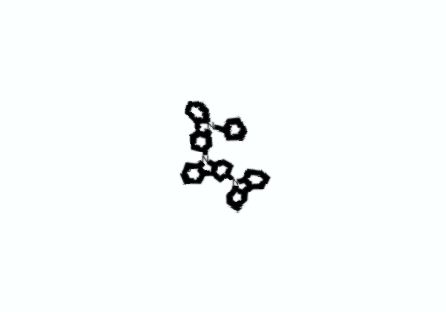 c1ccc(-n2c3ccccc3c3ccc(-n4c5ccccc5c5cc(-n6c7ccccc7c7ccccc76)ccc54)cc32)cc1